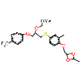 COCOC(COc1ccc(C(F)(F)F)cc1)CSc1ccc(OCC2OC(C)O2)c(C)c1